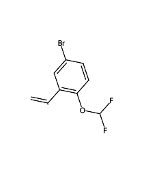 C=[C]c1cc(Br)ccc1OC(F)F